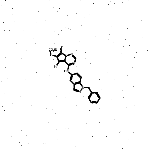 CCOC(=O)Oc1c(CC)c2c(Nc3ccc4c(cnn4Cc4ccccc4)c3)ncnn2c1Br